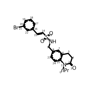 CCCN1C(=O)CCc2cc(CNS(=O)(=O)C=Cc3cccc(Br)c3)ccc21